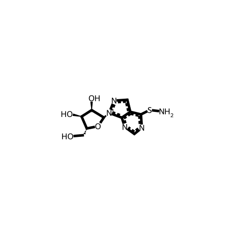 NSc1ncnc2c1cnn2[C@@H]1O[C@H](CO)[C@@H](O)[C@H]1O